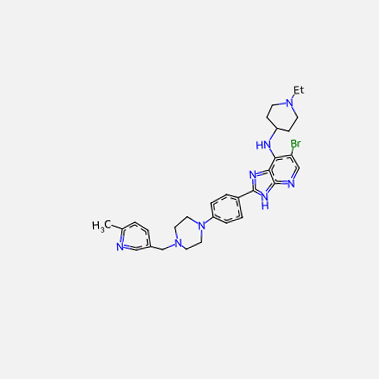 CCN1CCC(Nc2c(Br)cnc3[nH]c(-c4ccc(N5CCN(Cc6ccc(C)nc6)CC5)cc4)nc23)CC1